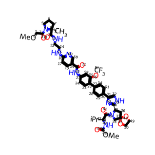 COCC(=O)N1CCC[C@@]1(C)C(=O)NCCNc1ccc(C(=O)Nc2ccc(-c3ccc(-c4c[nH]c([C@@H]5CC6(CN5C(=O)[C@@H](NC(=O)OC)C(C)C)OCCO6)n4)cc3)c(OC(F)(F)F)c2)cn1